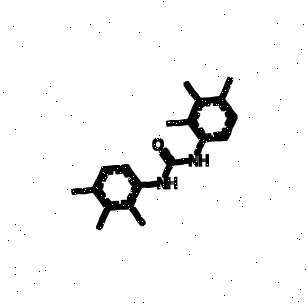 Cc1ccc(NC(=O)Nc2ccc(C)c(C)c2C)c(C)c1C